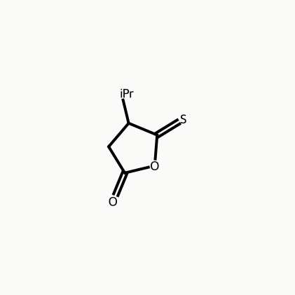 CC(C)C1CC(=O)OC1=S